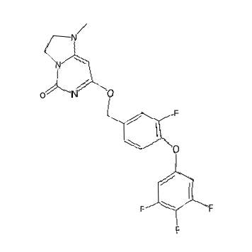 CN1CCn2c1cc(OCc1ccc(Oc3cc(F)c(F)c(F)c3)c(F)c1)nc2=O